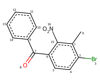 Cc1c(Br)ccc(C(=O)c2ccccc2)c1[N+](=O)[O-]